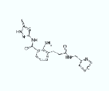 Nc1c(CCC(=O)NCc2ccccn2)cccc1C(=O)Nc1n[nH]c(=S)s1